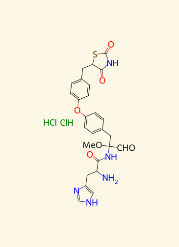 COC(C=O)(Cc1ccc(Oc2ccc(CC3SC(=O)NC3=O)cc2)cc1)NC(=O)C(N)Cc1c[nH]cn1.Cl.Cl